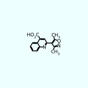 Cc1noc(C)c1-c1cc(C(=O)O)c2ccccc2n1